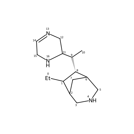 CCC1C2CNCC(C2)[C@H]1C(C)C1CN=CCN1